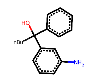 CCCCC(O)(c1ccccc1)c1cccc(N)c1